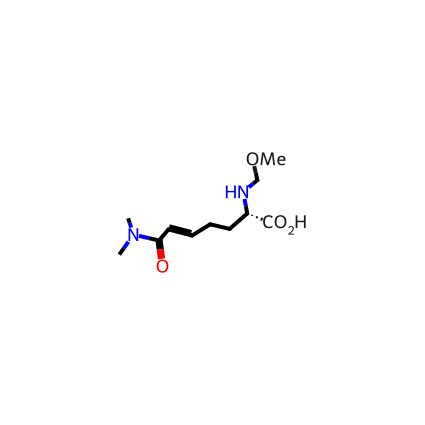 COCN[C@@H](CC/C=C/C(=O)N(C)C)C(=O)O